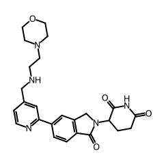 O=C1CCC(N2Cc3cc(-c4cc(CNCCN5CCOCC5)ccn4)ccc3C2=O)C(=O)N1